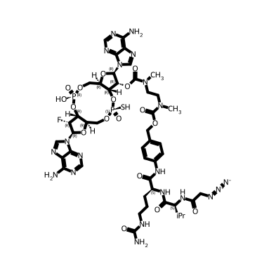 CC(C)[C@H](NC(=O)CN=[N+]=[N-])C(=O)N[C@@H](CCCNC(N)=O)C(=O)Nc1ccc(COC(=O)N(C)CCN(C)C(=O)O[C@@H]2[C@@H]3O[P@@](=O)(S)OC[C@H]4O[C@@H](n5cnc6c(N)ncnc65)[C@H](F)[C@@H]4O[P@](=O)(O)OC[C@H]3O[C@H]2n2cnc3c(N)ncnc32)cc1